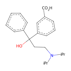 CC(C)N(CCC(O)(c1ccccc1)c1cccc(C(=O)O)c1)C(C)C